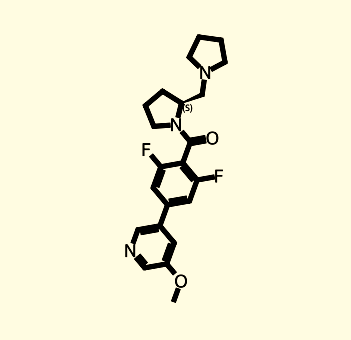 COc1cncc(-c2cc(F)c(C(=O)N3CCC[C@H]3CN3CCCC3)c(F)c2)c1